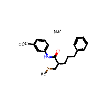 CC(=O)SCC(CCCc1ccccc1)C(=O)Nc1cccc(C(=O)[O-])c1.[Na+]